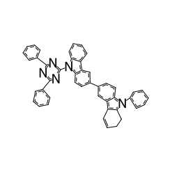 C1=Cc2c(n(-c3ccccc3)c3ccc(-c4ccc5c(c4)c4ccccc4n5-c4nc(-c5ccccc5)nc(-c5ccccc5)n4)cc23)CC1